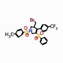 Cc1ccc(S(=O)(=O)N2CC(S(=O)(=O)c3ccccc3)=C(c3ccc(C(F)(F)F)cc3)C(CBr)C2)cc1